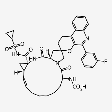 O=C(O)N[C@H]1CCCCCC=C[C@@H]2C[C@@]2(C(=O)NS(=O)(=O)C2CC2)NC(=O)[C@@H]2C[C@]3(CCc4c(c(-c5cccc(F)c5)nc5ccccc45)O3)CN2C1=O